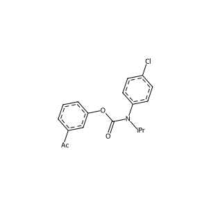 CC(=O)c1cccc(OC(=O)N(c2ccc(Cl)cc2)C(C)C)c1